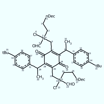 CCCCCCCCCCCC[N+](Cl)(C=O)CC1=C(C(C)c2ccc(C(C)(C)C)cc2)C(=O)C(C[N+](Cl)(C=O)CCCCCCCCCCCC)=C(C(C)c2ccc(C(C)(C)C)cc2)C1=O